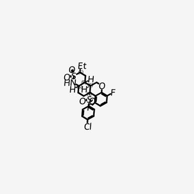 CC[C@H]1C[C@H]2[C@H](CC[C@]3(S(=O)(=O)c4ccc(Cl)cc4)c4c(F)ccc(F)c4OC[C@H]23)NS1(=O)=O